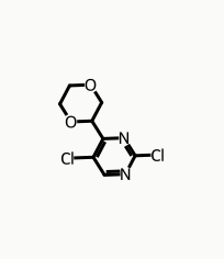 Clc1ncc(Cl)c(C2COCCO2)n1